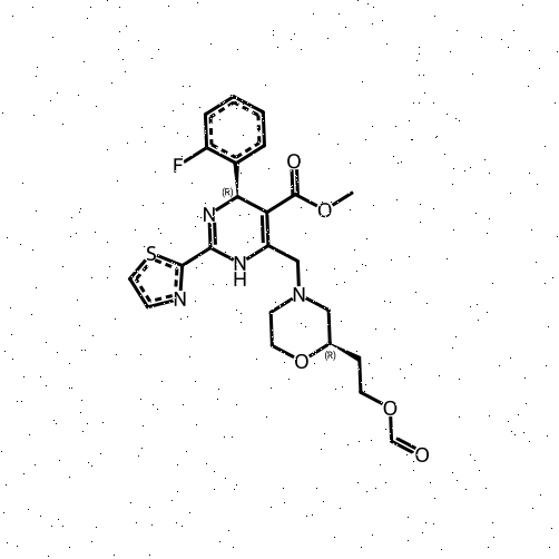 COC(=O)C1=C(CN2CCO[C@H](CCOC=O)C2)NC(c2nccs2)=N[C@H]1c1ccccc1F